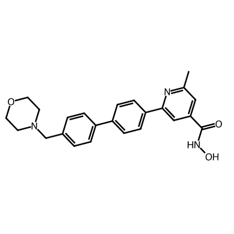 Cc1cc(C(=O)NO)cc(-c2ccc(-c3ccc(CN4CCOCC4)cc3)cc2)n1